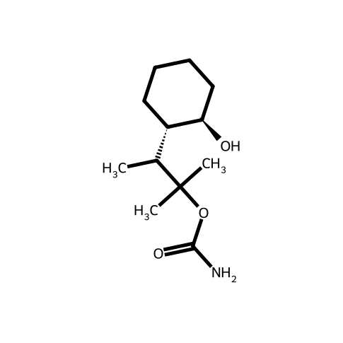 CC([C@@H]1CCCC[C@H]1O)C(C)(C)OC(N)=O